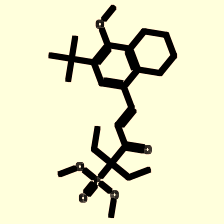 CCC(CC)(C(=O)/C=C/c1cc(C(C)(C)C)c(OC)c2c1CCCC2)P(=O)(OC)OC